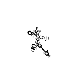 Cc1cc(F)cnc1C#Cc1cnc(O[C@H]2C[C@@H](C(=O)O)N(c3nc(C(F)F)nc4c3oc3ccccc34)C2)c(N2CCOC3(COC3)[C@@H]2C)c1